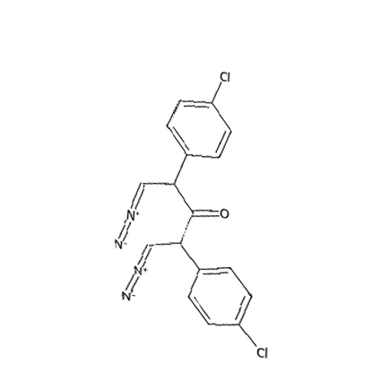 [N-]=[N+]=CC(C(=O)C(C=[N+]=[N-])c1ccc(Cl)cc1)c1ccc(Cl)cc1